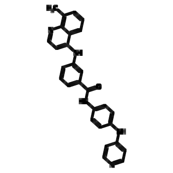 Cc1cccc2c(Nc3cccc(C(=O)Nc4ccc(Nc5ccncc5)cc4)c3)ccnc12